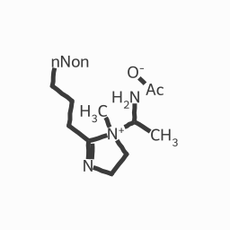 CC(=O)[O-].CCCCCCCCCCCCC1=NCC[N+]1(C)C(C)N